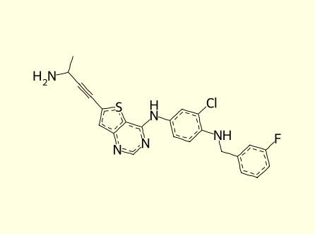 CC(N)C#Cc1cc2ncnc(Nc3ccc(NCc4cccc(F)c4)c(Cl)c3)c2s1